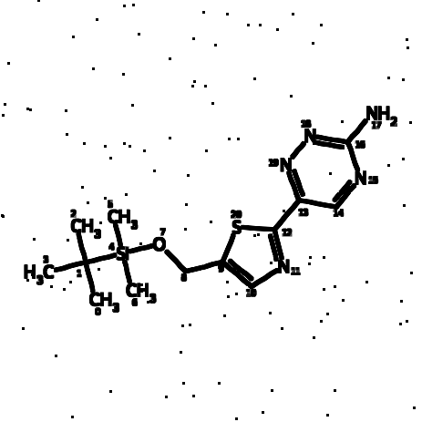 CC(C)(C)[Si](C)(C)OCc1cnc(-c2cnc(N)nn2)s1